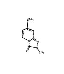 Cn1nc2cc(N)ccn2c1=O